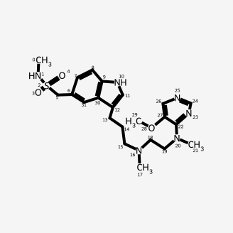 CNS(=O)(=O)Cc1ccc2[nH]cc(CCCN(C)CCN(C)c3ncncc3OC)c2c1